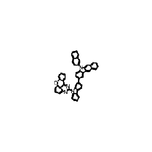 c1ccc2c(c1)Oc1cccc3nc(-n4c5ccccc5c5ccc(-c6ccc7c(c6)c6cc8ccccc8cc6n7-c6ccc7ccccc7c6)cc54)nc-2c13